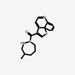 CC1CCCN(C(=O)C2=CSC34CC=CC=C3N=CC=C24)NC1